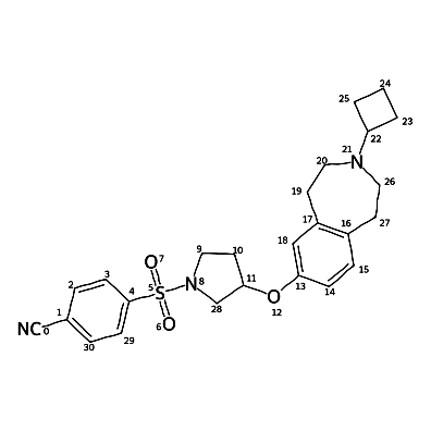 N#Cc1ccc(S(=O)(=O)N2CCC(Oc3ccc4c(c3)CCN(C3CCC3)CC4)C2)cc1